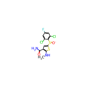 CNc1sc([S+]([O-])c2c(Cl)cc(F)cc2Cl)cc1C(N)=O